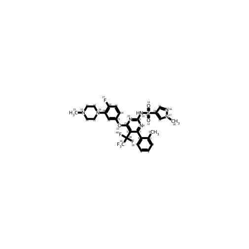 Cc1ccccc1-c1nc(NS(=O)(=O)c2cnn(C)c2)nc(Oc2ccc(F)c(N3CCN(C)CC3)c2)c1C(F)(F)C(F)(F)F